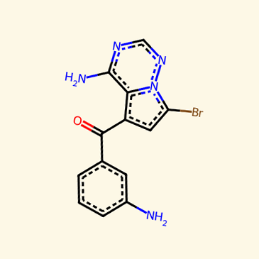 Nc1cccc(C(=O)c2cc(Br)n3ncnc(N)c23)c1